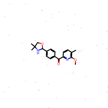 COc1nc(C(=O)c2ccc(C3NC(C)(C)CO3)cc2)ccc1C